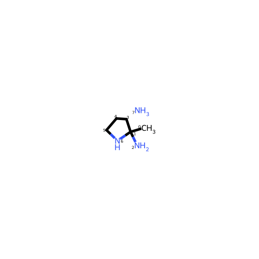 CC1(N)CCCN1.N